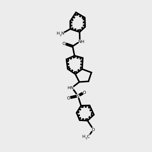 COc1ccc(S(=O)(=O)NC2CCc3cc(C(=O)Nc4ccccc4N)ccc32)cc1